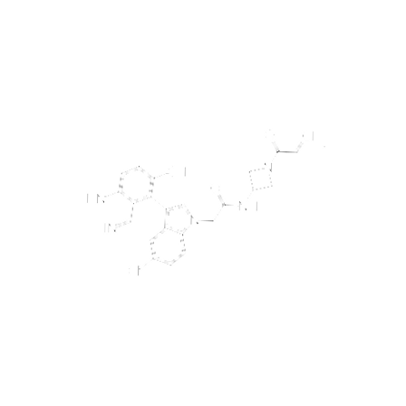 C=CC(=O)N1CC(NC(=O)Cn2cc(-c3c(C)ccc(N)c3C=N)c3cc(Cl)ccc32)C1